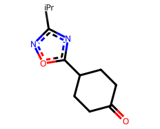 CC(C)c1noc(C2CCC(=O)CC2)n1